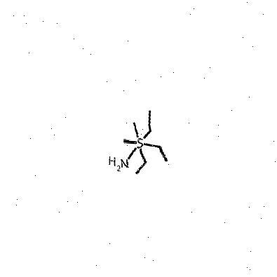 CCS(C)(C)(N)(CC)CC